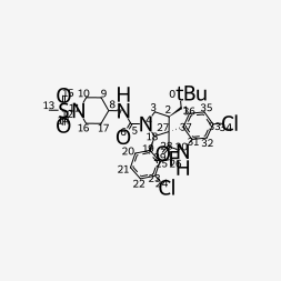 CC(C)(C)C[C@@H]1CN(C(=O)NC2CCN(S(C)(=O)=O)CC2)[C@H](c2cccc(Cl)c2F)[C@]12C(=O)Nc1cc(Cl)ccc12